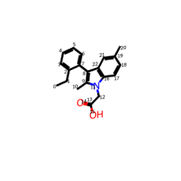 CCc1ccccc1-c1c(C)n(CC(=O)O)c2ccc(C)cc12